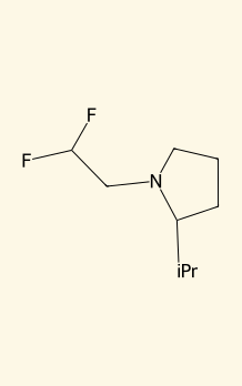 CC(C)C1CCCN1CC(F)F